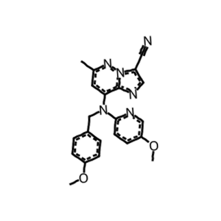 COc1ccc(CN(c2ccc(OC)cn2)c2cc(C)nn3c(C#N)cnc23)cc1